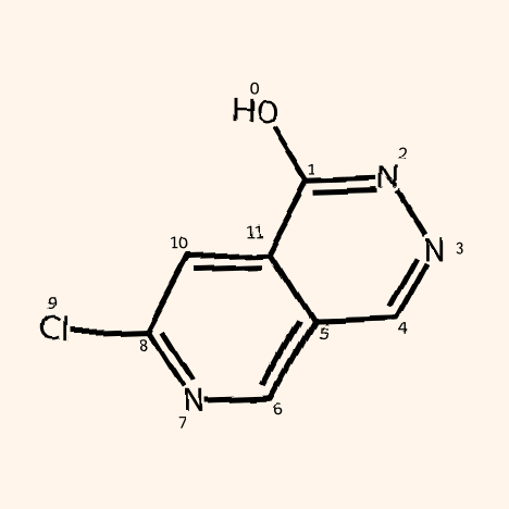 Oc1nncc2cnc(Cl)cc12